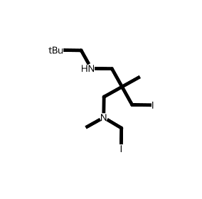 CN(CI)CC(C)(CI)CNCC(C)(C)C